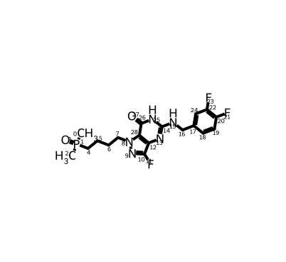 CP(C)(=O)CCCCn1nc(F)c2nc(NCc3ccc(F)c(F)c3)[nH]c(=O)c21